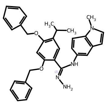 CC(C)c1cc(/C(=N/N)Nc2ccc3c(ccn3C)c2)c(OCc2ccccc2)cc1OCc1ccccc1